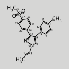 CC=Cn1cc(-c2ccc(C)cc2)c(-c2ccc(S(C)(=O)=O)cc2)n1